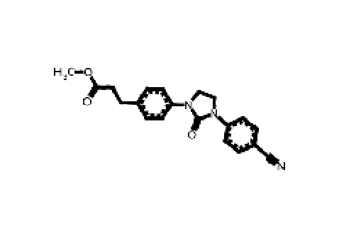 COC(=O)CCc1ccc(N2CCN(c3ccc(C#N)cc3)C2=O)cc1